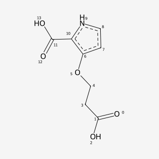 O=C(O)CCOc1cc[nH]c1C(=O)O